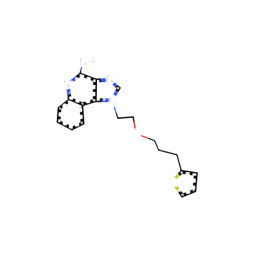 Nc1nc2ccccc2c2c1ncn2CCOCCCc1cccs1